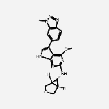 COc1nc(N[C@@H]2[C@@H]3COC[C@@H]32)nc2[nH]cc(-c3ccc4nnn(C)c4c3)c12